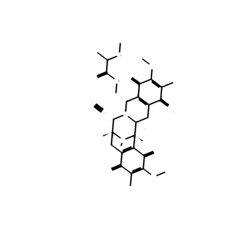 CNC(C)C(=O)NC[C@@H]1C2=C(C[C@H]3[C@@H]4C5=C(C[C@H]([C@H](C#N)N13)N4C)C(=O)C(C)=C(OC)C5=O)C(=O)C(C)=C(OC)C2=O